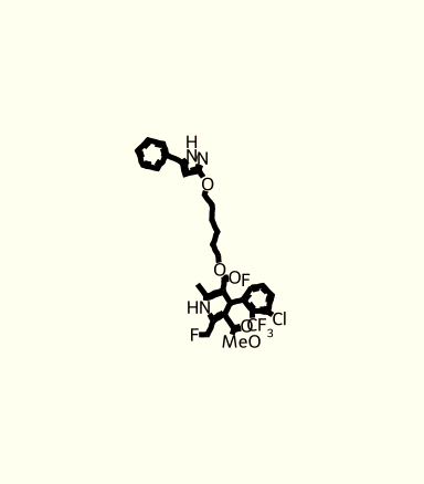 COC(=O)C1=C(CF)NC(C)=C(C(=O)OCCCCCCOc2cc(-c3ccccc3)[nH]n2)C1c1c(F)ccc(Cl)c1C(F)(F)F